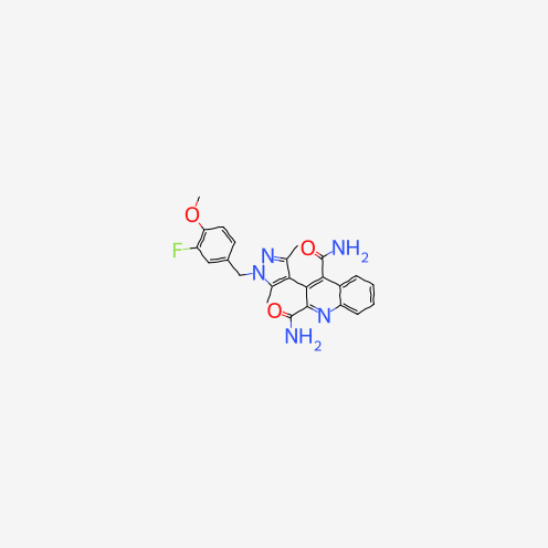 COc1ccc(Cn2nc(C)c(-c3c(C(N)=O)nc4ccccc4c3C(N)=O)c2C)cc1F